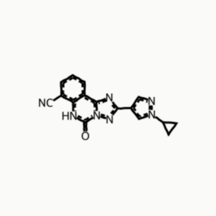 N#Cc1cccc2c1[nH]c(=O)n1nc(-c3cnn(C4CC4)c3)nc21